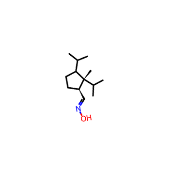 CC(C)C1CC[C@H](/C=N/O)[C@@]1(C)C(C)C